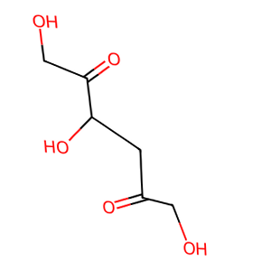 O=C(CO)CC(O)C(=O)CO